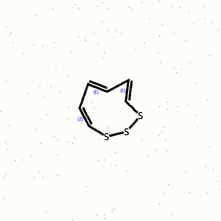 C1=C\SSS/C=C/C=C/1